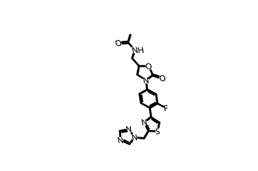 CC(=O)NCC1CN(c2ccc(-c3csc(Cn4cncn4)n3)c(F)c2)C(=O)O1